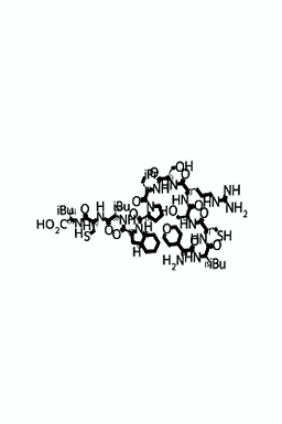 CC[C@H](C)C(NC(=O)[C@@H](N)C1CCOCC1)C(=O)N[C@@H](CS)C(=O)N[C@@H](CO)C(=O)N[C@@H](CCCNC(=N)N)C(=O)N[C@@H](CO)C(=O)N[C@@H](CC(C)C)C(=O)N1CCC[C@H]1C(=O)N1[C@H](C(=O)N[C@H](C(=O)N[C@@H](CS)C(=O)N[C@H](C(=O)O)[C@@H](C)CC)[C@@H](C)CC)C[C@@H]2CCCC[C@@H]21